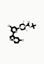 C[C@@H]1CN(c2cc(Cl)cc(-c3cnn4ccc(Cl)cc34)n2)C[C@H](C)N1C(=O)OC(C)(C)C